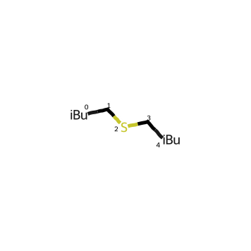 CCC(C)CSCC(C)CC